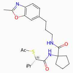 CC(=O)S[C@H](C(=O)NC1(C(=O)NCCCc2ccc3nc(C)oc3c2)CCCC1)C(C)C